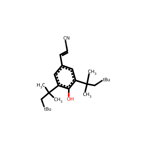 CC(C)(C)CC(C)(C)c1cc(C=CC#N)cc(C(C)(C)CC(C)(C)C)c1O